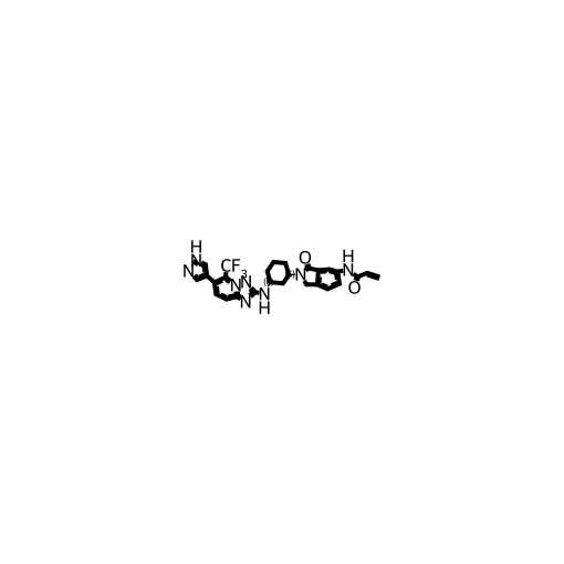 C=CC(=O)Nc1ccc2c(c1)C(=O)N([C@H]1CCC[C@@H](Nc3nc4ccc(-c5cn[nH]c5)c(C(F)(F)F)n4n3)C1)C2